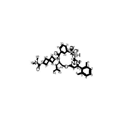 Cc1cccc(C)c1-c1cc2nc(n1)NS(=O)(=O)c1cccc(c1)C(=O)N([C@H]1CC3(C[C@H](C(=O)N(C)C)C3)C1)[C@H](CC(C)C)CO2